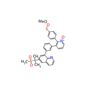 COOSc1ccc(-c2c(-c3cccc(-c4cc(C(C)(C)S(C)(=O)=O)cc5cccnc45)c3)ccc[n+]2[O-])cc1